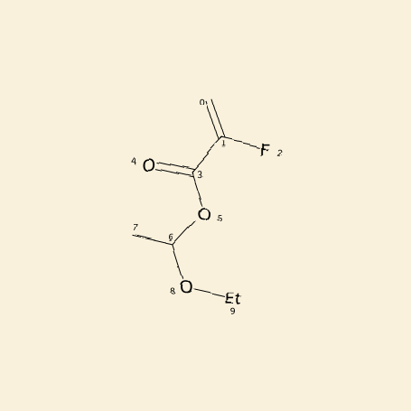 C=C(F)C(=O)OC(C)OCC